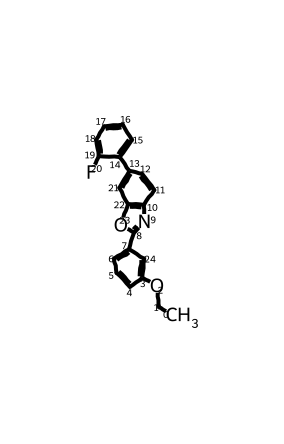 CCOc1cccc(-c2nc3ccc(-c4ccccc4F)cc3o2)c1